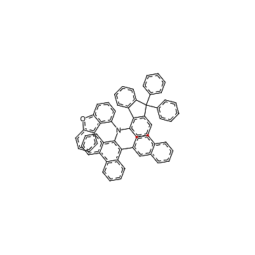 c1ccc(C2(c3ccccc3)c3ccccc3-c3c(N(c4c(-c5ccc6ccccc6c5)c5ccccc5c5ccccc45)c4cccc5oc6ccccc6c45)cccc32)cc1